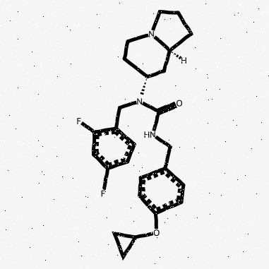 O=C(NCc1ccc(OC2CC2)cc1)N(Cc1ccc(F)cc1F)[C@@H]1CCN2CCC[C@H]2C1